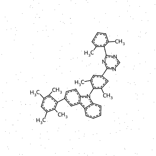 Cc1cc(C)c(C)c(-c2ccc3c(c2)c2ccccc2n3-c2c(C)cc(-c3ncnc(-c4c(C)cccc4C)n3)cc2C)c1C